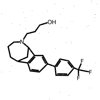 OCCCN1CCCC2CC1c1cc(-c3ccc(C(F)(F)F)cc3)ccc12